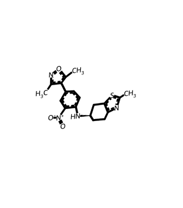 Cc1nc2c(s1)C[C@H](Nc1ccc(-c3c(C)noc3C)cc1[N+](=O)[O-])CC2